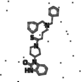 O=c1[nH]c2ccccc2n1C1CCN(C(=S)CCCN(Cc2ccccc2)Cc2ccccc2)CC1